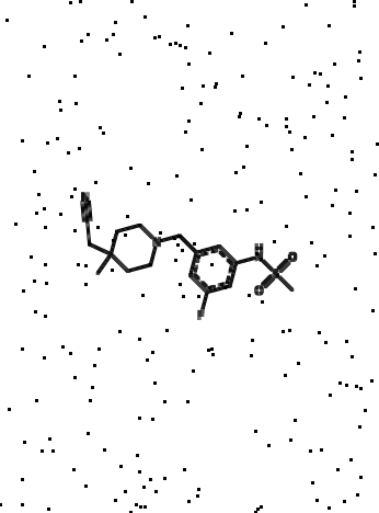 CC1(CC#N)CCN(Cc2cc(F)cc(NS(C)(=O)=O)c2)CC1